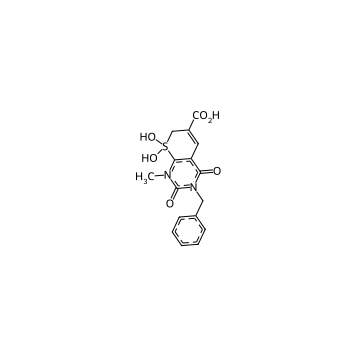 Cn1c2c(c(=O)n(Cc3ccccc3)c1=O)C=C(C(=O)O)CS2(O)O